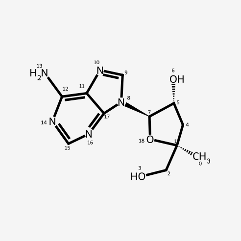 C[C@@]1(CO)C[C@@H](O)[C@H](n2cnc3c(N)ncnc32)O1